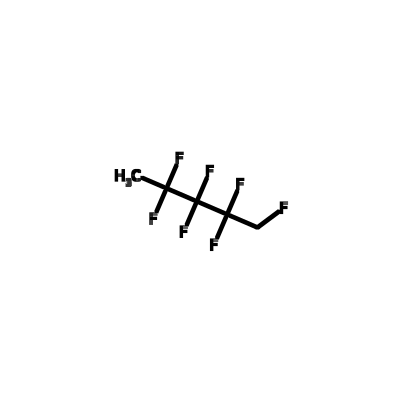 CC(F)(F)C(F)(F)C(F)(F)CF